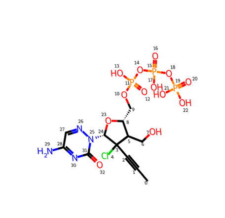 CC#CC1(Cl)C(CO)[C@@H](COP(=O)(O)OP(=O)(O)OP(=O)(O)O)O[C@H]1n1ncc(N)nc1=O